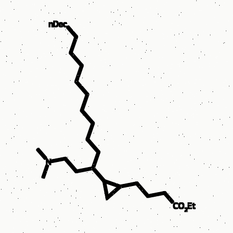 CCCCCCCCCCCCCCCCCCCC(CCN(C)C)C1CC1CCCC(=O)OCC